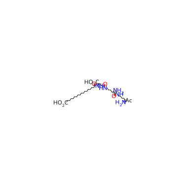 CC(=O)[C@@H](N)CCCCNC(=O)[C@@H](N)CCCCNC(=O)CC[C@H](NC(=O)CCCCCCCCCCCCCCCCC(=O)O)C(=O)O